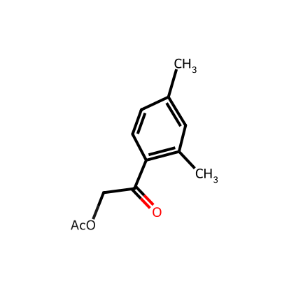 CC(=O)OCC(=O)c1ccc(C)cc1C